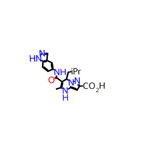 CC1=C(C(=O)Nc2ccc3[nH]ncc3c2)C(CC(C)C)n2nc(C(=O)O)cc2N1